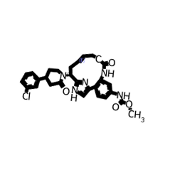 COC(=O)Nc1ccc2c(c1)NC(=O)CC/C=C/C[C@H](N1CCC(c3cccc(Cl)c3)CC1=O)c1nc-2c[nH]1